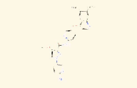 CCOc1cn(-c2ccc(N)nc2)nc1C(=O)Nc1ccc(Oc2ccnc3cc(OC)c(OC)cc23)cn1